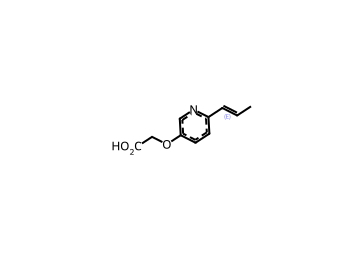 C/C=C/c1ccc(OCC(=O)O)cn1